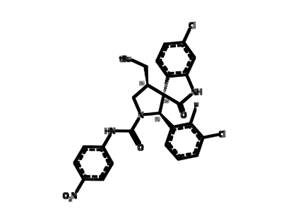 CC(C)(C)C[C@@H]1CN(C(=O)Nc2ccc([N+](=O)[O-])cc2)[C@H](c2cccc(Cl)c2F)[C@]12C(=O)Nc1cc(Cl)ccc12